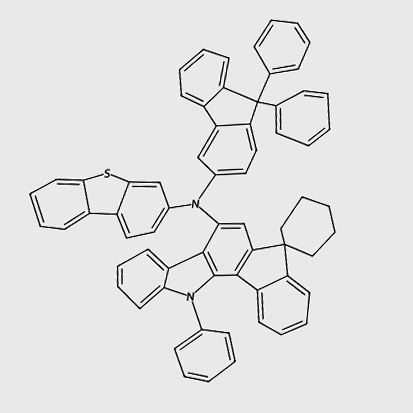 c1ccc(-n2c3ccccc3c3c(N(c4ccc5c(c4)-c4ccccc4C5(c4ccccc4)c4ccccc4)c4ccc5c(c4)sc4ccccc45)cc4c(c32)-c2ccccc2C42CCCCC2)cc1